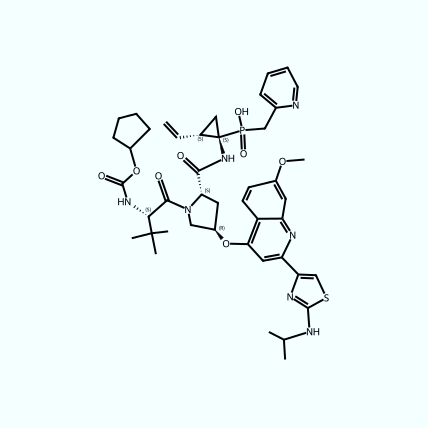 C=C[C@@H]1C[C@]1(NC(=O)[C@@H]1C[C@@H](Oc2cc(-c3csc(NC(C)C)n3)nc3cc(OC)ccc23)CN1C(=O)[C@@H](NC(=O)OC1CCCC1)C(C)(C)C)P(=O)(O)Cc1ccccn1